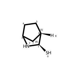 S[C@H]1NC2CC[C@H]1C2